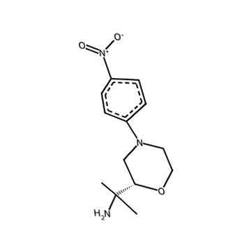 CC(C)(N)[C@@H]1CN(c2ccc([N+](=O)[O-])cc2)CCO1